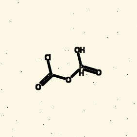 O=C(Cl)O[PH](=O)O